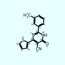 Cc1cccc(-c2nc(-c3cccs3)c(C#N)c(=O)[nH]2)c1